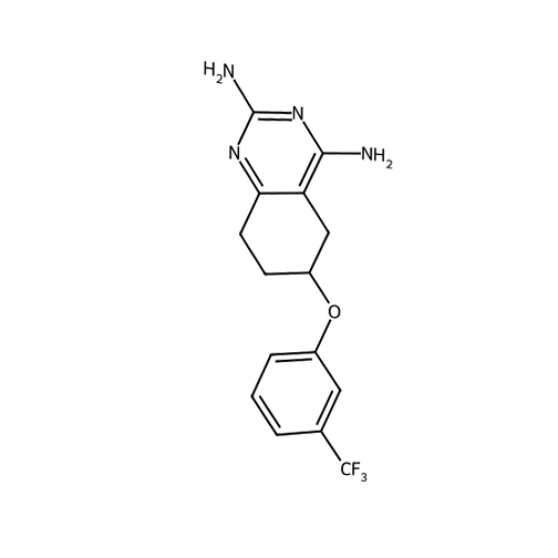 Nc1nc(N)c2c(n1)CCC(Oc1cccc(C(F)(F)F)c1)C2